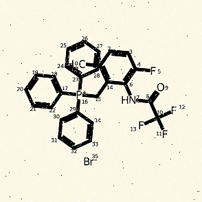 Cc1ccc(F)c(NC(=O)C(F)(F)F)c1C[P+](c1ccccc1)(c1ccccc1)c1ccccc1.[Br-]